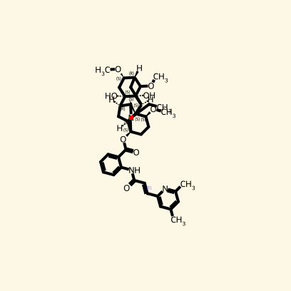 CCN1C[C@]2(OC(=O)c3ccccc3NC(=O)/C=C/c3cc(C)cc(C)n3)CC[C@H](OC)[C@]34C1[C@@H](C[C@H]23)[C@@]1(O)C[C@H](OC)[C@H]2C[C@@H]4[C@]1(O)C2OC